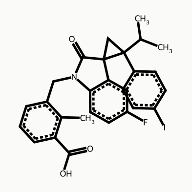 Cc1c(CN2C(=O)C3(CC3(c3ccc(I)cc3)C(C)C)c3cc(F)ccc32)cccc1C(=O)O